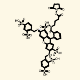 CN(CCCC(=O)ON1C(=O)CCC1=O)C(=O)c1ccccc1-c1c2cc(S(=O)(=O)O)/c(=N/Cc3ccc(S(=O)(=O)O)cc3S(=O)(=O)O)cc-2oc2cc(NCc3ccc(S(=O)(=O)O)cc3S(=O)(=O)O)c(S(=O)(=O)O)cc12